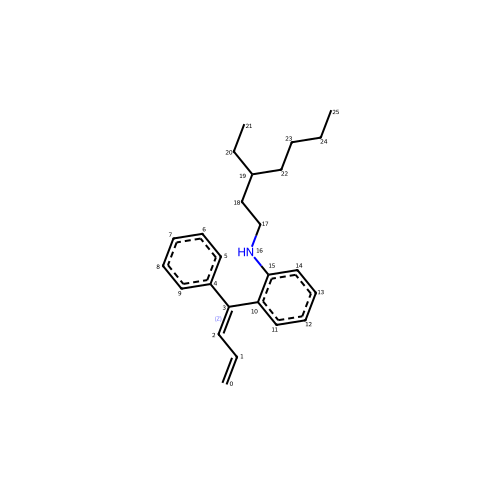 C=C/C=C(/c1ccccc1)c1ccccc1NCCC(CC)CCCC